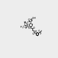 CC(C)N(CCO)[C@@H]1CC[C@H](NC(=O)CNC(=O)c2cccc(C(F)(F)F)c2)[C@@H](CS(=O)(=O)C(C)C)C1